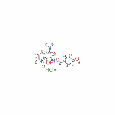 COc1ccc(CON=CC2(O)C(C(=O)N(C)C)=CC=C(C)N2C)cc1.Cl